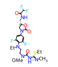 CCS/C(=N\C)NC(=O)N(CCN(CC)c1c(F)cc(N2C[C@H](CNC(=O)C(F)F)OC2=O)cc1F)OC